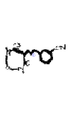 CN1COCN(C)C(=O)C(=C/C=C/c2cccc(C#N)c2)C1=O